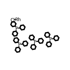 [Cl][Rh].c1ccc(P(c2ccccc2)c2ccccc2)cc1.c1ccc(P(c2ccccc2)c2ccccc2)cc1.c1ccc(P(c2ccccc2)c2ccccc2)cc1.c1ccc(P(c2ccccc2)c2ccccc2)cc1